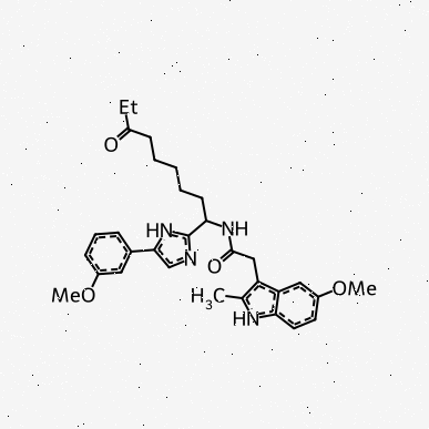 CCC(=O)CCCCCC(NC(=O)Cc1c(C)[nH]c2ccc(OC)cc12)c1ncc(-c2cccc(OC)c2)[nH]1